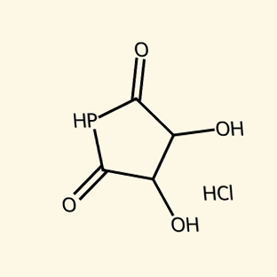 Cl.O=C1PC(=O)C(O)C1O